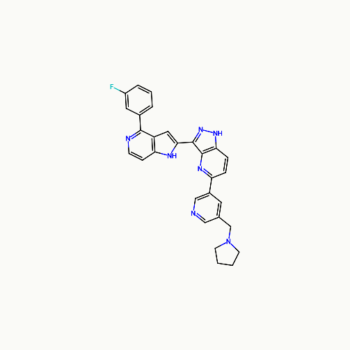 Fc1cccc(-c2nccc3[nH]c(-c4n[nH]c5ccc(-c6cncc(CN7CCCC7)c6)nc45)cc23)c1